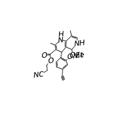 C#Cc1ccc(C2C(C(=O)OCCC#N)=C(C)NC3=C2C(OCC)NC=C3C)c(OC)c1